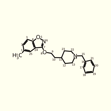 Cc1ccc2onc(OCCC3CCN(Cc4ccccc4)CC3)c2c1